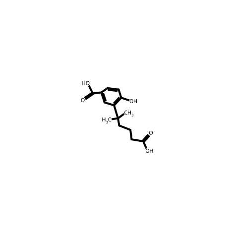 CC(C)(CCCC(=O)O)c1cc(C(=O)O)ccc1O